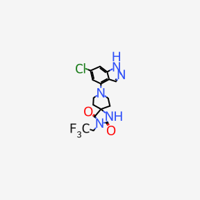 O=C1NC2(CCN(c3cc(Cl)cc4[nH]ncc34)CC2)C(=O)N1CC(F)(F)F